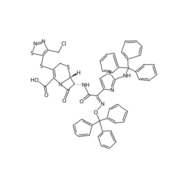 O=C(O)C1=C(Sc2snnc2CCl)CS[C@@H]2[C@H](NC(=O)/C(=N\OC(c3ccccc3)(c3ccccc3)c3ccccc3)c3csc(NC(c4ccccc4)(c4ccccc4)c4ccccc4)n3)C(=O)N12